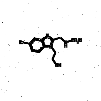 O=C(O)NCc1nc2cc(Br)ccc2n1CCO